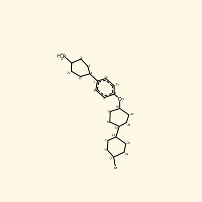 BC1CCC(c2ccc(OC3CCC(C4CCC(C)CC4)CC3)cc2)CC1